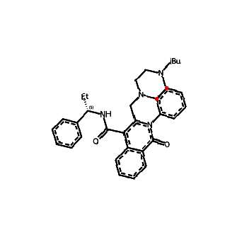 CCC(C)N1CCN(Cc2c(C(=O)N[C@@H](CC)c3ccccc3)c3ccccc3c(=O)n2-c2ccccc2)CC1